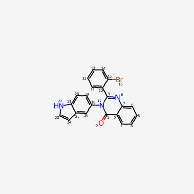 O=c1c2ccccc2nc(-c2ccccc2Br)n1-c1ccc2[nH]ccc2c1